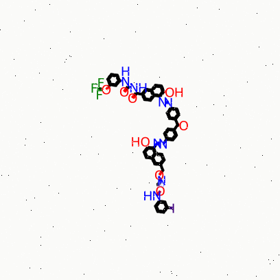 O=C(NC(=O)c1ccc2c(N=Nc3ccc(C(=O)c4ccc(N=Nc5c(O)ccc6cc(CO/N=C/ONc7cccc(I)c7)ccc56)cc4)cc3)c(O)ccc2c1)Nc1cccc(OC(F)(F)F)c1